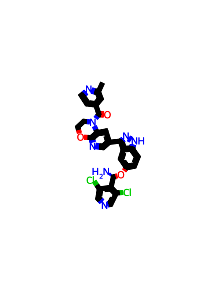 Cc1cc(C(=O)N2CCOc3ncc(-c4n[nH]c5ccc(O[C@H](N)c6c(Cl)cncc6Cl)cc45)cc32)ccn1